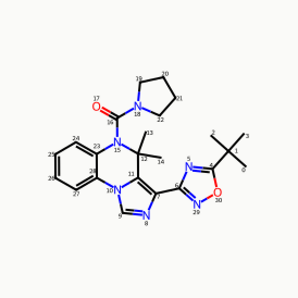 CC(C)(C)c1nc(-c2ncn3c2C(C)(C)N(C(=O)N2CCCC2)c2ccccc2-3)no1